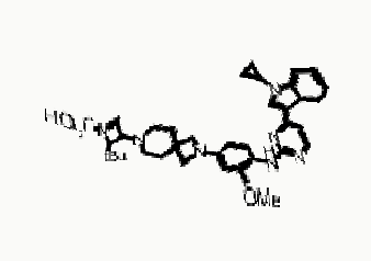 COc1cc(N2CC3(CCN(C4CN(C(=O)O)C4C(C)(C)C)CC3)C2)ccc1Nc1nccc(-c2cn(C3CC3)c3ccccc23)n1